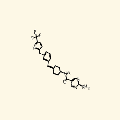 Nc1ncc(C(=O)NC2CCC(=Cc3cccc(Cc4ccc(C(F)(F)F)cn4)c3)CC2)cn1